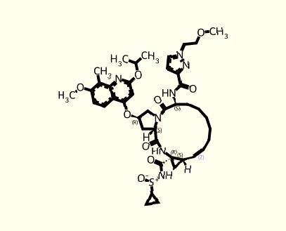 COCCn1ccc(C(=O)N[C@H]2CCCCC/C=C\[C@@H]3C[C@@]3(C(=O)N[S+]([O-])C3CC3)NC(=O)[C@@H]3C[C@@H](Oc4cc(OC(C)C)nc5c(C)c(OC)ccc45)CN3C2=O)n1